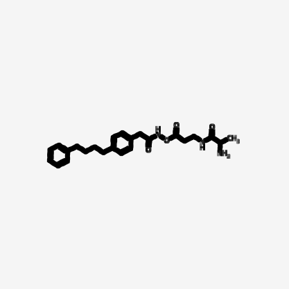 CC(N)C(=O)NCCC(=O)ONC(=O)Cc1ccc(CCCCc2ccccc2)cc1